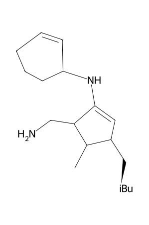 CC[C@H](C)CC1C=C(NC2C=CCCC2)C(CN)C1C